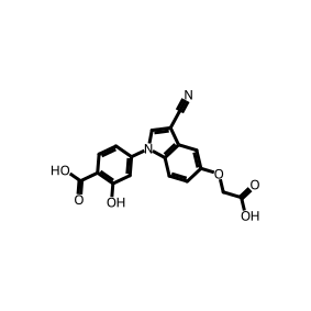 N#Cc1cn(-c2ccc(C(=O)O)c(O)c2)c2ccc(OCC(=O)O)cc12